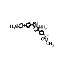 CCOC(=O)Nc1ccc(-c2cnc3c(-c4ccc(N5CCN(C)CC5)cc4)cnn3c2N)cc1